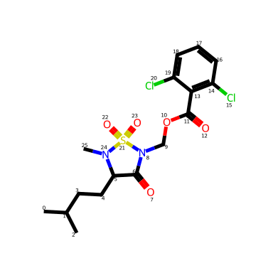 CC(C)CCC1C(=O)N(COC(=O)c2c(Cl)cccc2Cl)S(=O)(=O)N1C